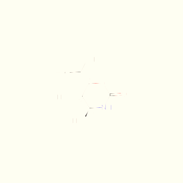 CC(C)[C@@H]1OC(=O)N[C@@H](C)[C@@H]1C